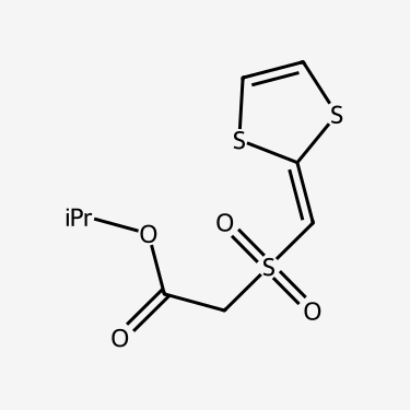 CC(C)OC(=O)CS(=O)(=O)C=C1SC=CS1